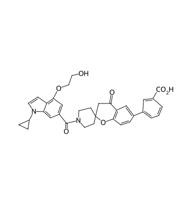 O=C(O)c1cccc(-c2ccc3c(c2)C(=O)CC2(CCN(C(=O)c4cc(OCCO)c5ccn(C6CC6)c5c4)CC2)O3)c1